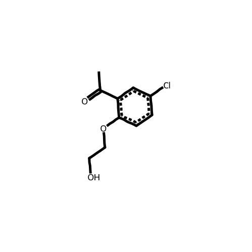 CC(=O)c1cc(Cl)ccc1OCCO